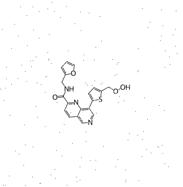 O=C(NCc1ccco1)c1ccc2cncc(-c3ccc(COO)s3)c2n1